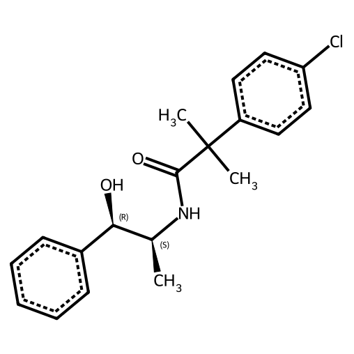 C[C@H](NC(=O)C(C)(C)c1ccc(Cl)cc1)[C@H](O)c1ccccc1